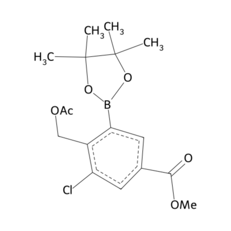 COC(=O)c1cc(Cl)c(COC(C)=O)c(B2OC(C)(C)C(C)(C)O2)c1